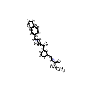 CNC(=O)/C=C/c1cccc(C(=O)N/N=C/c2ccc3c(c2)OCC3)c1